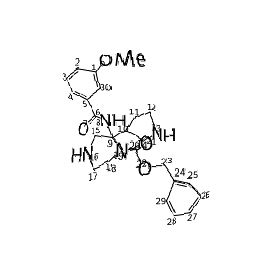 COc1cccc(C(=O)NC2(C3CCNC3)CNCCN2C(=O)OCc2ccccc2)c1